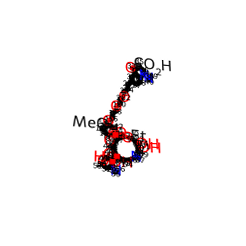 CC[C@H]1OC(=O)[C@H](C)[C@@H](O[C@H]2C[C@@](C)(OC)[C@@H](OCCCOCCOCCCc3ccc4c(c3)c(=O)c(C(=O)O)cn4N(C)C)[C@H](C)O2)[C@H](C)[C@@H](O[C@@H]2O[C@H](C)C[C@H](N(C)C)[C@H]2O)[C@](C)(O)C[C@@H](C)CN(C)[C@H](C)[C@@H](O)[C@]1(C)O